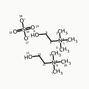 C[N+](C)(C)CCO.C[N+](C)(C)CCO.O=S(=O)([O-])[O-]